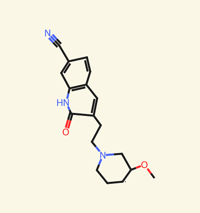 COC1[CH]CCN(CCc2cc3ccc(C#N)cc3[nH]c2=O)C1